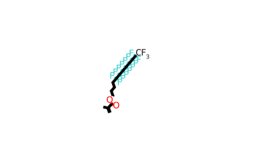 C=C(C)C(=O)OCCCCC(F)(F)C(F)(F)C(F)(F)C(F)(F)C(F)(F)C(F)(F)C(F)(F)C(F)(F)F